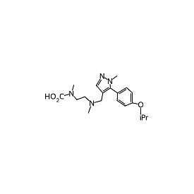 CC(C)Oc1ccc(-c2c(CN(C)CCN(C)C(=O)O)cnn2C)cc1